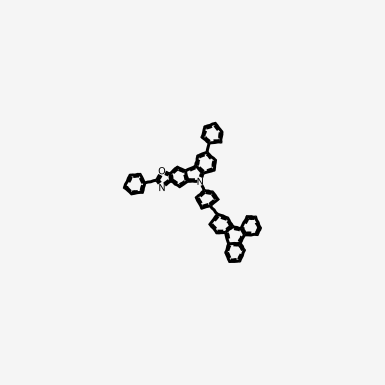 c1ccc(-c2ccc3c(c2)c2cc4oc(-c5ccccc5)nc4cc2n3-c2ccc(-c3ccc4c5ccccc5c5ccccc5c4c3)cc2)cc1